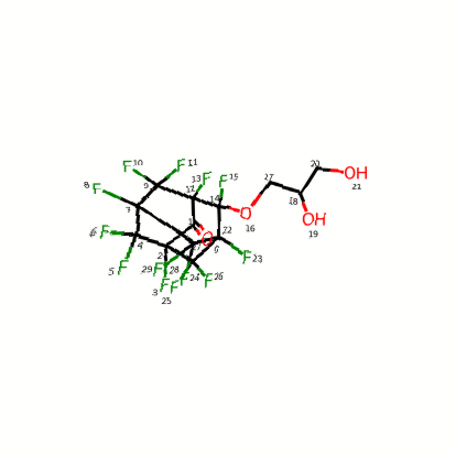 O=C1C2(F)C(F)(F)C3(F)C(F)(F)C1(F)C(F)(OCC(O)CO)C(F)(C2(F)F)C3(F)F